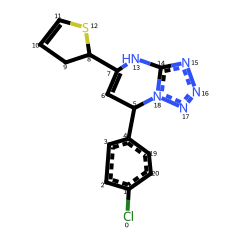 Clc1ccc(C2C=C(C3CC=CS3)Nc3nnnn32)cc1